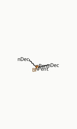 CCCCCCCCCCCCCCCCCC[P+](CCCCC)(CCCCC)CCCCCCCCCCCCCCCCCC.[Br-]